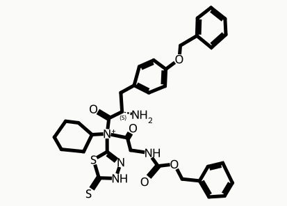 N[C@@H](Cc1ccc(OCc2ccccc2)cc1)C(=O)[N+](C(=O)CNC(=O)OCc1ccccc1)(c1n[nH]c(=S)s1)C1CCCCC1